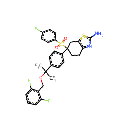 Nc1nc2c(s1)CC(c1ccc(C(OCc3c(F)cccc3F)(C(F)(F)F)C(F)(F)F)cc1)(S(=O)(=O)c1ccc(F)cc1)CC2